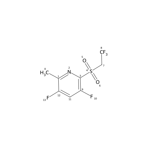 Cc1nc(S(=O)(=O)CC(F)(F)F)c(F)cc1F